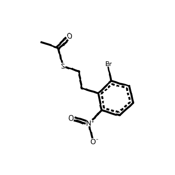 CC(=O)SCCc1c(Br)cccc1[N+](=O)[O-]